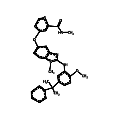 CNC(=O)c1cc(Oc2ccc3c(c2)nc(Nc2cc(C(C)(C)c4ccccc4)ccc2OC)n3C)ccn1